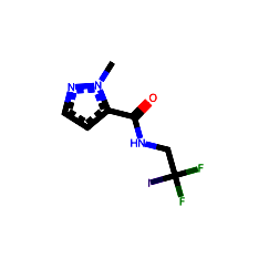 Cn1nccc1C(=O)NCC(F)(F)I